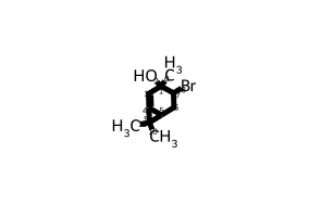 CC1(O)C=C2C(CC1Br)C2(C)C